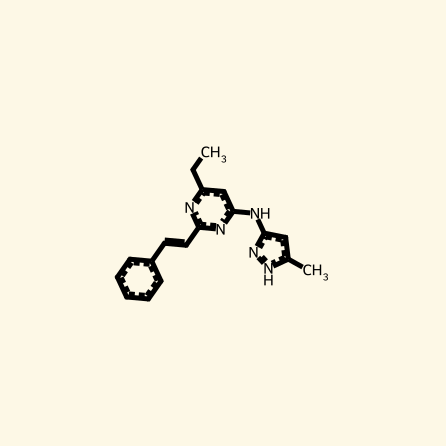 CCc1cc(Nc2cc(C)[nH]n2)nc(/C=C/c2ccccc2)n1